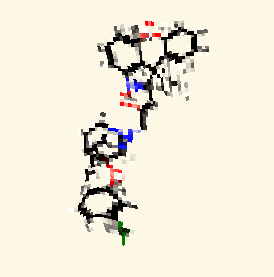 CC1(c2cc(C[N+]34CCC(CC3)[C@@H](Oc3cccc(F)c3)C4)on2)c2ccccc2Oc2ccccc21